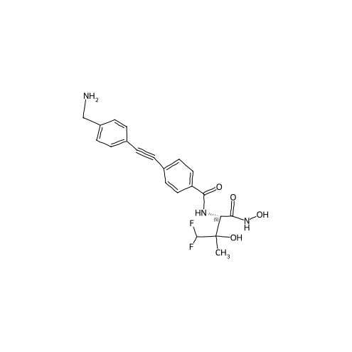 CC(O)(C(F)F)[C@H](NC(=O)c1ccc(C#Cc2ccc(CN)cc2)cc1)C(=O)NO